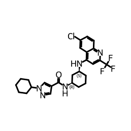 O=C(N[C@@H]1CCC[C@H](Nc2cc(C(F)(F)F)nc3ccc(Cl)cc23)C1)c1cnn(C2CCCCC2)c1